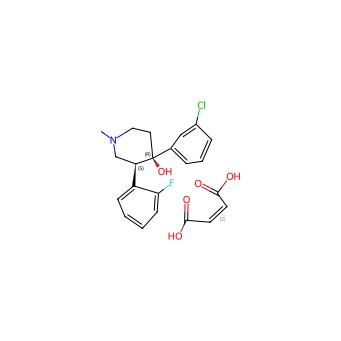 CN1CC[C@](O)(c2cccc(Cl)c2)[C@@H](c2ccccc2F)C1.O=C(O)/C=C\C(=O)O